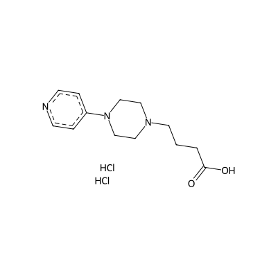 Cl.Cl.O=C(O)CCCN1CCN(c2ccncc2)CC1